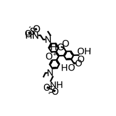 CCN(CCNS(C)(=O)=O)c1ccc2c(-c3cc(C(=O)O)c(C(=O)O)cc3C(=O)O)c3ccc(N(CC)CCNS(C)(=O)=O)cc3[o+]c2c1